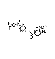 CN(c1cnc(CNC(=O)c2ccc3c(c2)[nH]c(=O)n3C)cn1)C1CC(F)(F)C1